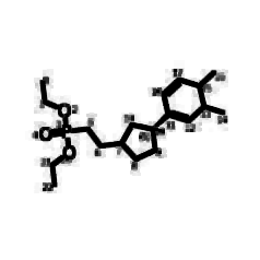 CCOP(=O)(CCC1CC[C@H](C2=CC(C)C(C)C=C2)C1)OCC